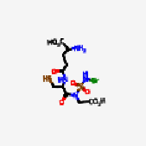 NC(CCC(=O)NC(CS)C(=O)N(CC(=O)O)S(=O)(=O)NBr)C(=O)O